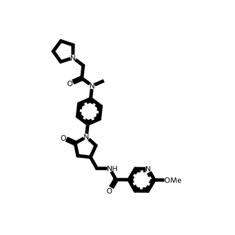 COc1ccc(C(=O)NCC2CC(=O)N(c3ccc(N(C)C(=O)CN4CCCC4)cc3)C2)cn1